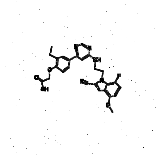 CCc1cc(-c2cc(NCCn3c(C#N)cc4c(OC)ccc(F)c43)ncn2)ccc1OCC(=O)O